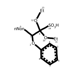 CCCCCCCCCC(Oc1ccccc1)C(OCC)(OCC)S(=O)(=O)O